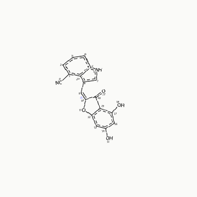 N#Cc1cccc2[nH]cc(/C=C3/Oc4cc(O)cc(O)c4C3=O)c12